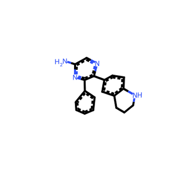 Nc1cnc(-c2ccc3c(c2)CCCN3)c(-c2ccccc2)n1